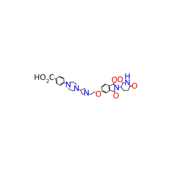 O=C1CCC(N2C(=O)c3ccc(OCCN4CC(N5CCN(c6ccc(C(=O)O)cc6)CC5)C4)cc3C2=O)C(=O)N1